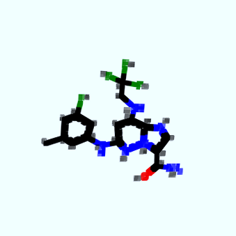 Cc1cc(F)cc(Nc2cc(NCC(F)(F)F)c3ncc(C(N)=O)n3n2)c1